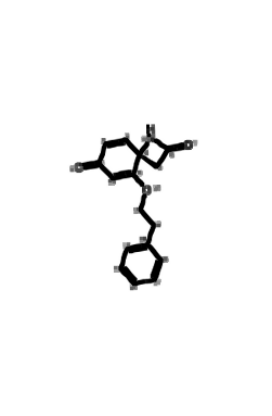 O=C1C=C[C@@]2(CC(=O)N2)C(OCCc2ccccc2)=C1